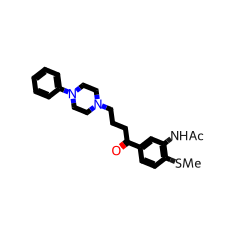 CSc1ccc(C(=O)CCCN2CCN(c3ccccc3)CC2)cc1NC(C)=O